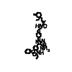 C=C1CCCC(CC)(CC[C@@H](C)C(=O)NCCN2CCC(n3nc(-c4ccc(Oc5ccccc5)c(NC(=O)CC)c4)c4c(N)ncnc43)CC2)C1